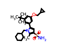 Cc1c(S(N)(=O)=O)cc(-c2cc(OCC3CC3)cc(C(C)(C)C)c2)n1CC1CCCCC1